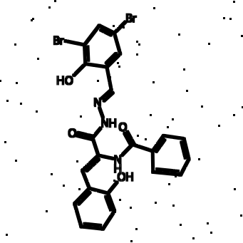 O=C(N/N=C/c1cc(Br)cc(Br)c1O)/C(=C/c1ccccc1O)NC(=O)c1ccccc1